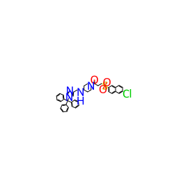 O=C(CCS(=O)(=O)c1ccc2cc(Cl)ccc2c1)N1CCC(NCc2cn(C(c3ccccc3)(c3ccccc3)c3ccccc3)cn2)CC1